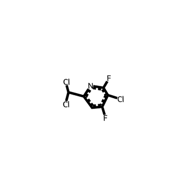 Fc1cc(C(Cl)Cl)nc(F)c1Cl